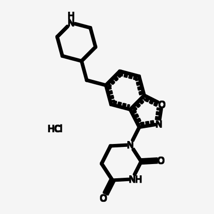 Cl.O=C1CCN(c2noc3ccc(CC4CCNCC4)cc23)C(=O)N1